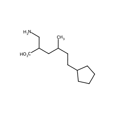 CC(CCC1CCCC1)CC(CN)C(=O)O